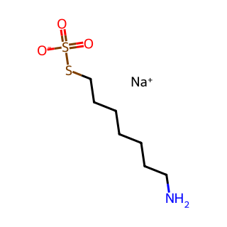 NCCCCCCCSS(=O)(=O)[O-].[Na+]